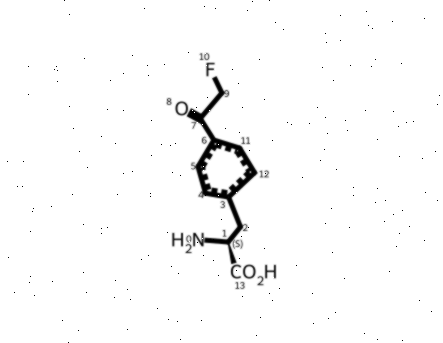 N[C@@H](Cc1ccc(C(=O)CF)cc1)C(=O)O